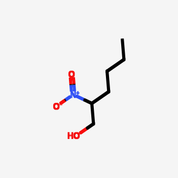 CCCCC(CO)[N+](=O)[O-]